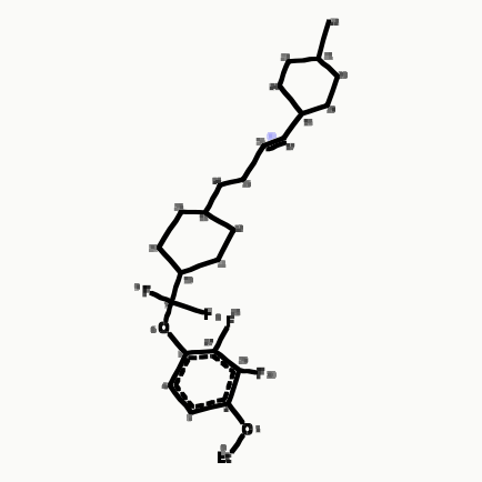 CCOc1ccc(OC(F)(F)C2CCC(CC/C=C/C3CCC(C)CC3)CC2)c(F)c1F